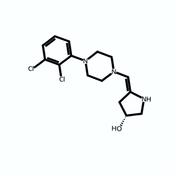 O[C@H]1CNC(=CN2CCN(c3cccc(Cl)c3Cl)CC2)C1